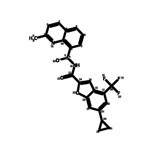 Cc1ccc2cccc([S+]([O-])NC(=O)c3cc4c(C(F)(F)F)cc(C5CC5)cc4o3)c2n1